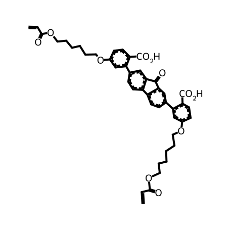 C=CC(=O)OCCCCCCOc1ccc(C(=O)O)c(-c2ccc3c(c2)C(=O)c2cc(-c4cc(OCCCCCCOC(=O)C=C)ccc4C(=O)O)ccc2-3)c1